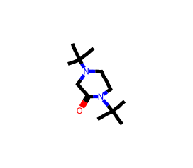 CC(C)(C)N1CCN(C(C)(C)C)C(=O)C1